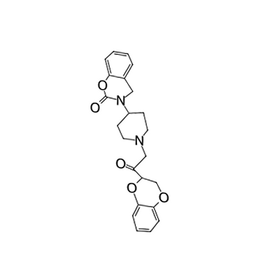 O=C(CN1CCC(N2Cc3ccccc3OC2=O)CC1)C1COc2ccccc2O1